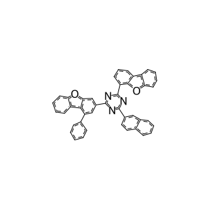 c1ccc(-c2cc(-c3nc(-c4ccc5ccccc5c4)nc(-c4cccc5c4oc4ccccc45)n3)cc3oc4ccccc4c23)cc1